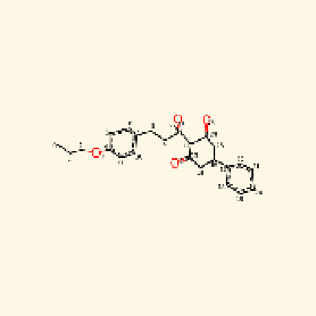 CCCOc1ccc(CCC(=O)C2C(=O)CC(c3ccccc3)CC2=O)cc1